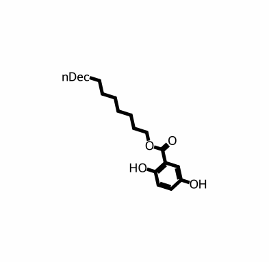 CCCCCCCCCCCCCCCCCOC(=O)c1cc(O)ccc1O